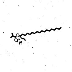 C=C(C)C(=O)OC(CCCCCCCCCCCCCCCCC)[PH](CC)(CC)CC